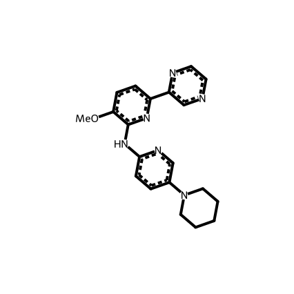 COc1ccc(-c2cnccn2)nc1Nc1ccc(N2CCCCC2)cn1